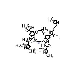 C=Nc1cc(C(=O)NC)cc2c1N(CNC(=O)c1cc(C)nn1CC)C/C=C/Cn1c(NC(=O)c3cc(C)nn3CC)nc3cc(C(=C)NCCCn4cc(C)cn4)cc(c31)OCC(C)CO2